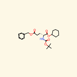 CC(C)(C)OC(=O)N[C@H](CCC(=O)OCc1ccccc1)C(=O)OC1CCCCC1